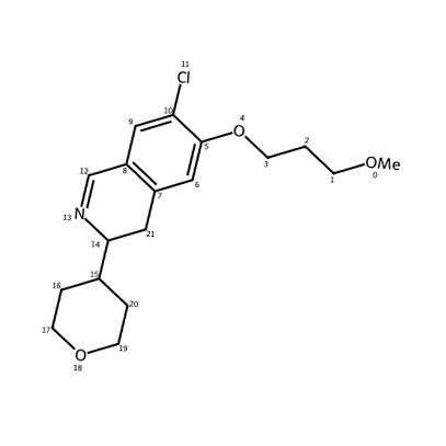 COCCCOc1cc2c(cc1Cl)C=NC(C1CCOCC1)C2